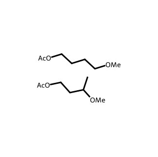 COC(C)CCOC(C)=O.COCCCCOC(C)=O